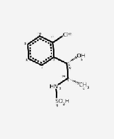 C[C@H](NS(=O)(=O)O)[C@@H](O)c1ccccc1Cl